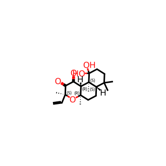 C=C[C@]1(C)O[C@]2(C)CC[C@H]3C(C)(C)CCC(O)(O)[C@]3(C)[C@H]2C(=O)C1=O